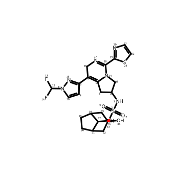 O=S(=O)(NC1CC2=C(c3ccn(C(F)F)n3)CN=C(c3nccs3)N2C1)NC1C2CCC1CC(O)C2